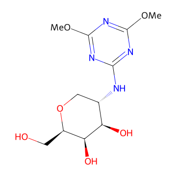 COc1nc(N[C@H]2CO[C@H](CO)[C@H](O)[C@@H]2O)nc(OC)n1